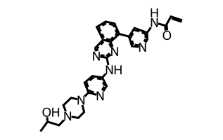 C=CC(=O)Nc1cncc(-c2cccc3cnc(Nc4ccc(N5CCN(CC(C)O)CC5)nc4)nc23)c1